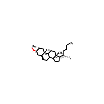 CCCCCO[C@H]1CC[C@@]2(C)C(=CCC3C2CC[C@@]2(C)C3CC[C@@H]2[C@H](C)CCCC(C)C)C1